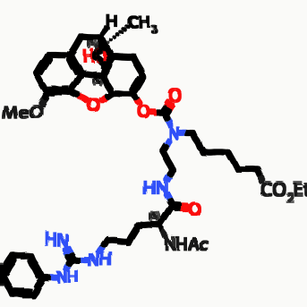 CCOC(=O)CCCCCN(CCNC(=O)[C@H](CCCNC(=N)Nc1ccccc1)NC(C)=O)C(=O)OC1=CCC2(O)[C@H]3Cc4ccc(OC)c5c4[C@@]2(CC[C@H]3C)C1O5